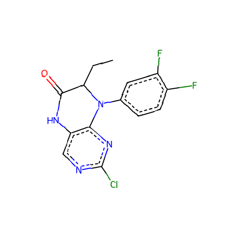 CCC1C(=O)Nc2cnc(Cl)nc2N1c1ccc(F)c(F)c1